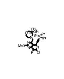 CSc1nc(CN2CCOC[C@@](C)(O)C2)c2c(C#C[Si](C(C)C)(C(C)C)C(C)C)nc(Cl)c(F)c2n1